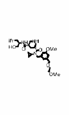 COCCOCc1cc(CN(C(=O)[C@H]2CNC[C@@H](C(=O)NC(CO)CC(C)C)C2)C2CC2)cc(OC)c1